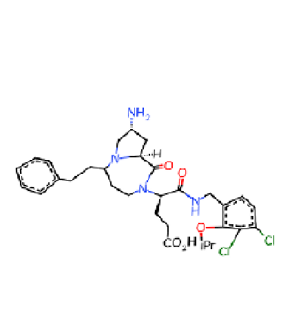 CC(C)Oc1c(CNC(=O)[C@@H](CCC(=O)O)N2CCC(CCc3ccccc3)N3C[C@H](N)C[C@H]3C2=O)ccc(Cl)c1Cl